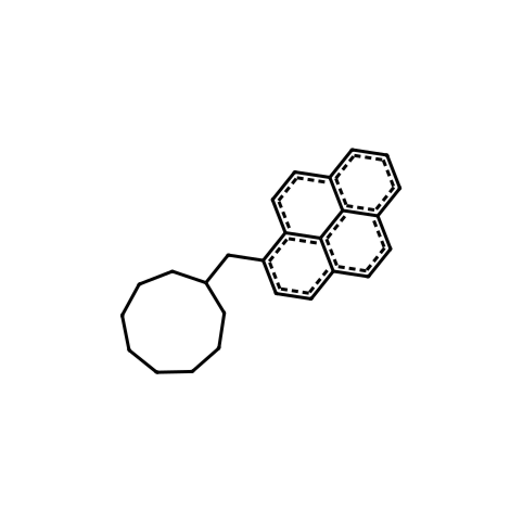 c1cc2ccc3ccc(CC4CCCCCCCC4)c4ccc(c1)c2c34